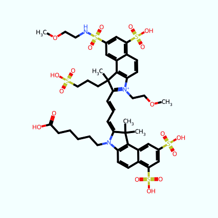 COCCNS(=O)(=O)c1cc(S(=O)(=O)O)c2ccc3c(c2c1)C(C)(CCCS(=O)(=O)O)C(/C=C/C=C1/N(CCCCCC(=O)O)c2ccc4c(S(=O)(=O)O)cc(S(=O)(=O)O)cc4c2C1(C)C)=[N+]3CCOC